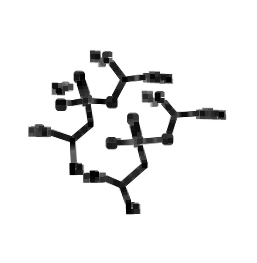 CCCCCCC(C)OP(=O)([O-])CC(CC)CCCC.CCCCCCC(C)OP(=O)([O-])CC(CC)CCCC.[Ni+2]